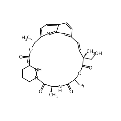 CC(C)C1OC(=O)[C@@](C)(CO)/C=C/c2ccc3ccc(nc3c2)[C@@H](C)OC(=O)[C@@H]2CCCN(N2)C(=O)[C@H](C)NC1=O